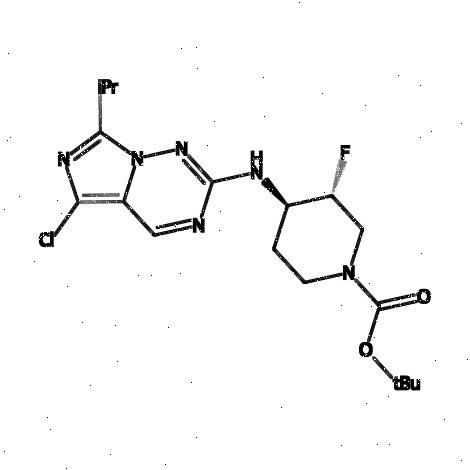 CC(C)c1nc(Cl)c2cnc(N[C@@H]3CCN(C(=O)OC(C)(C)C)C[C@H]3F)nn12